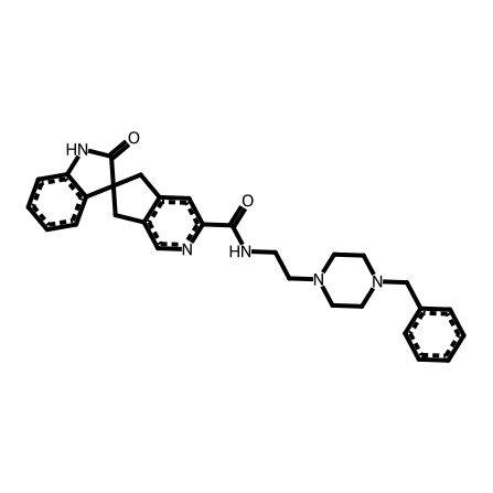 O=C(NCCN1CCN(Cc2ccccc2)CC1)c1cc2c(cn1)CC1(C2)C(=O)Nc2ccccc21